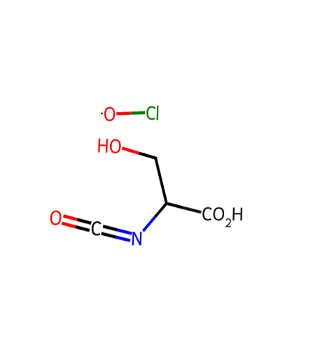 O=C=NC(CO)C(=O)O.[O]Cl